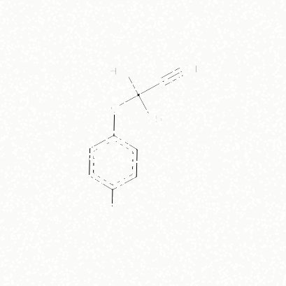 C#CC(C)(C)Oc1ccc(I)cc1